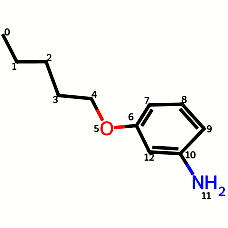 CCCCCOc1cccc(N)c1